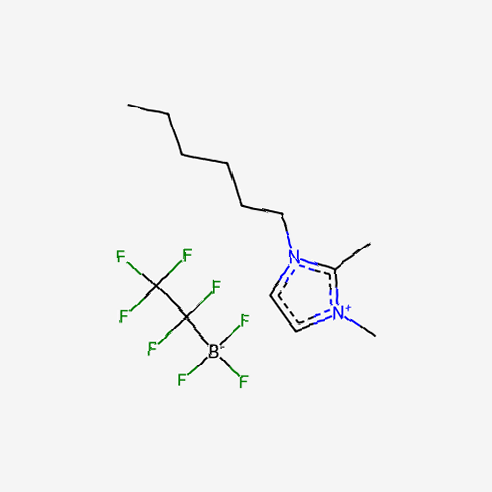 CCCCCCn1cc[n+](C)c1C.F[B-](F)(F)C(F)(F)C(F)(F)F